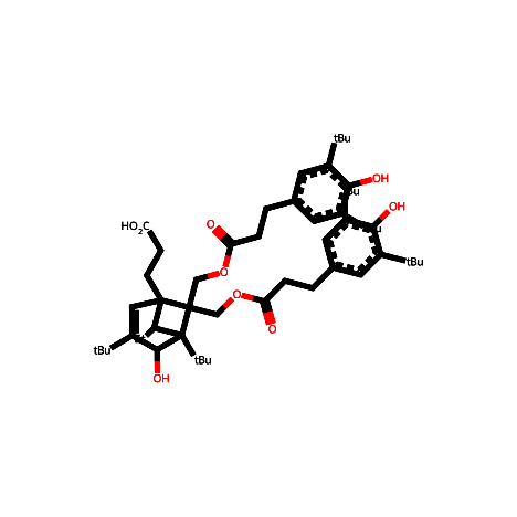 CCC1C2(CCC(=O)O)C=C(C(C)(C)C)C(O)C1(C(C)(C)C)C2(COC(=O)CCc1cc(C(C)(C)C)c(O)c(C(C)(C)C)c1)COC(=O)CCc1cc(C(C)(C)C)c(O)c(C(C)(C)C)c1